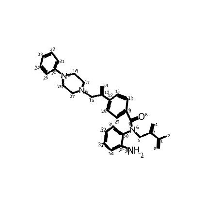 C=C(C)C(=C)CN(C(=O)c1ccc(C(=C)CN2CCN(c3ccccc3)CC2)cc1)c1ccccc1N